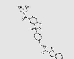 CCN(CC)C(=O)c1ccc(F)c(S(=O)(=O)c2ccc(CNC(=O)C3Cc4cnccc4N3)cc2)c1